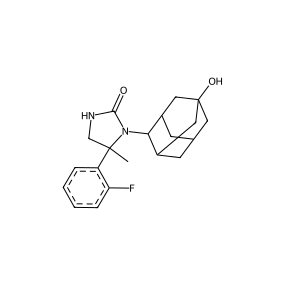 CC1(c2ccccc2F)CNC(=O)N1C1C2CC3CC1CC(O)(C3)C2